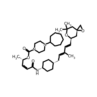 CC(/C=C/[C@@H]1C[C@]2(CO2)CC(C)(C)O1)=C\C[C@H]1CC[C@@H](NC(=O)/C=C\[C@H](C)OC(=O)N2CCN(C3CCCCCC3)CC2)CC1